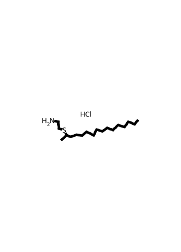 CCCCCCCCCCCCCCC(C)SCCN.Cl